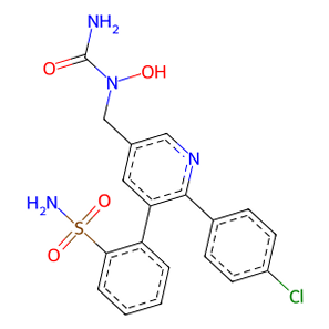 NC(=O)N(O)Cc1cnc(-c2ccc(Cl)cc2)c(-c2ccccc2S(N)(=O)=O)c1